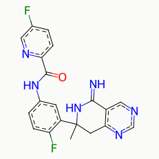 CC1(c2cc(NC(=O)c3ccc(F)cn3)ccc2F)Cc2ncncc2C(=N)N1